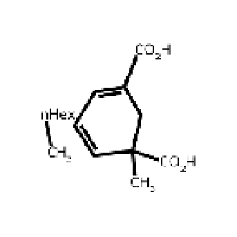 CC1(C(=O)O)C=CC=C(C(=O)O)C1.CCCCCCC